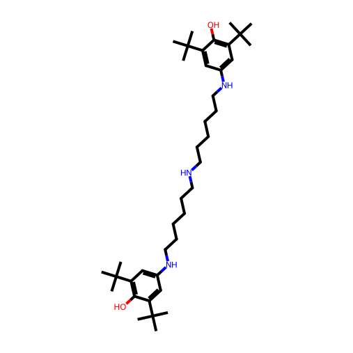 CC(C)(C)c1cc(NCCCCCCNCCCCCCNc2cc(C(C)(C)C)c(O)c(C(C)(C)C)c2)cc(C(C)(C)C)c1O